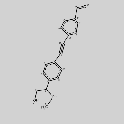 COC(CO)c1ccc(C#Cc2ccc([C]=O)cc2)cc1